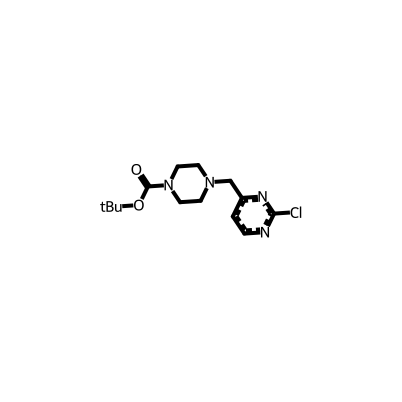 CC(C)(C)OC(=O)N1CCN(Cc2ccnc(Cl)n2)CC1